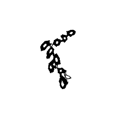 c1ccc(-c2ccc(-c3ccc(N(c4ccccc4)c4cccc(-c5cccc6c5c5ccccc5n6-c5ccc6oc7ccccc7c6c5)c4)cc3)cc2)cc1